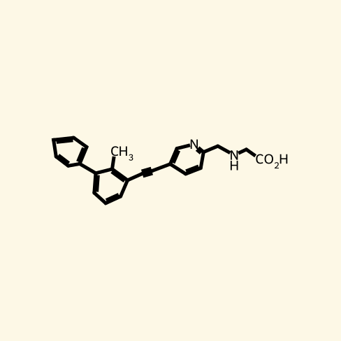 Cc1c(C#Cc2ccc(CNCC(=O)O)nc2)cccc1-c1ccccc1